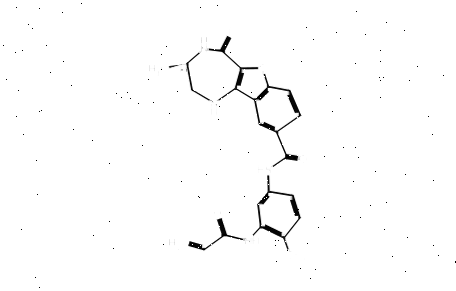 C=CC(=O)Nc1cc(NC(=O)c2ccc3sc4c(c3c2)NC[C@@H](C)NC4=O)ccc1C